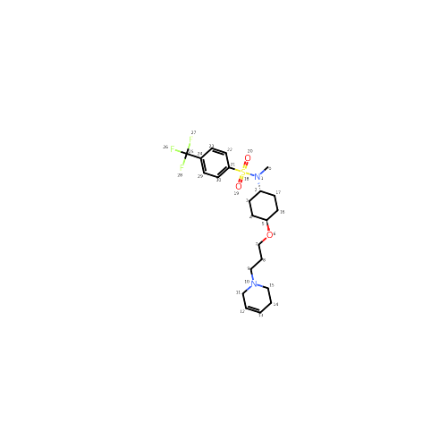 CN([C@H]1CC[C@H](OCCCN2CC=CCC2)CC1)S(=O)(=O)c1ccc(C(F)(F)F)cc1